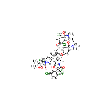 CC(C)[C@@](O)(C(=O)N1CCC2(C[C@H]2CCOc2ccc(C(=O)N(C)C)c(Cl)c2)C(C2CN(C(=O)C(O)(c3cccc(Cl)c3)C(F)(F)F)CCC2CCCCOc2ccc(C(=O)N(C)C)c(Cl)c2)C1)C(F)(F)F